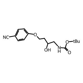 CC(C)(C)OC(=O)NCC(O)CCOc1ccc(C#N)cc1